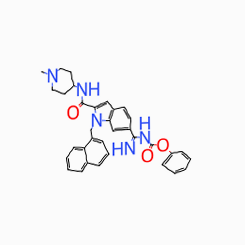 CN1CCC(NC(=O)c2cc3ccc(C(=N)NC(=O)Oc4ccccc4)cc3n2Cc2cccc3ccccc23)CC1